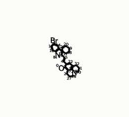 COc1c(/C=C/C2=[N+](C)c3ccc(Br)cc3C23CCCCC3)cc2c3c1CCCN3CCC2